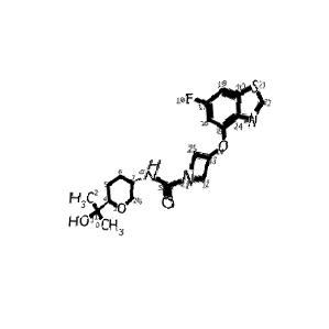 CC(C)(O)[C@H]1CC[C@H](NC(=O)N2CC(Oc3cc(F)cc4scnc34)C2)CO1